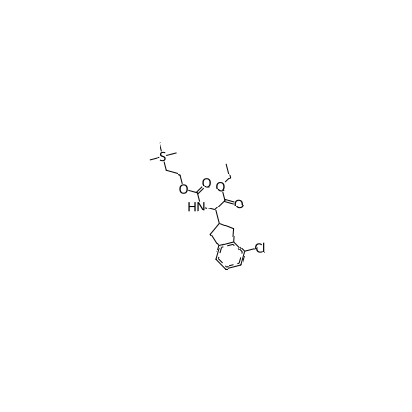 CCOC(=O)C(NC(=O)OCCS(C)(C)C)C1Cc2cccc(Cl)c2C1